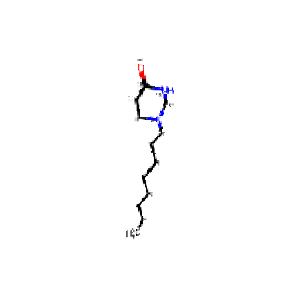 CCCCCCCCN1CCC(=O)NC1